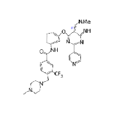 CN/C=C1\C(=N)N=C(c2ccncc2)N=C1Oc1cccc(NC(=O)c2ccc(CN3CCN(C)CC3)c(C(F)(F)F)c2)c1